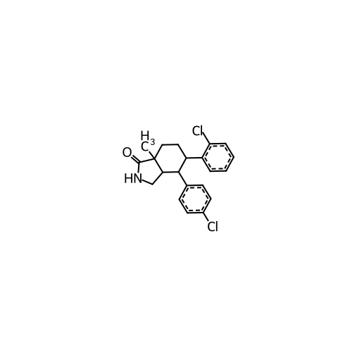 CC12CCC(c3ccccc3Cl)C(c3ccc(Cl)cc3)C1CNC2=O